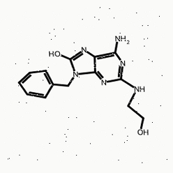 Nc1nc(NCCO)nc2c1nc(O)n2Cc1ccccc1